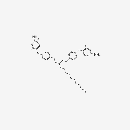 CCCCCCCCCCCC(CCc1ccc(Cc2ccc(N)cc2C)cc1)CCc1ccc(Cc2ccc(N)cc2C)cc1